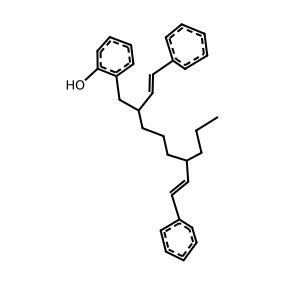 CCCC(/C=C/c1ccccc1)CCCC(/C=C/c1ccccc1)Cc1ccccc1O